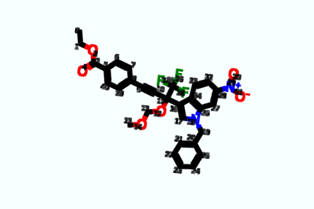 CCOC(=O)c1ccc(C#CC(OCOC)(c2cn(Cc3ccccc3)c3cc([N+](=O)[O-])ccc23)C(F)(F)F)cc1